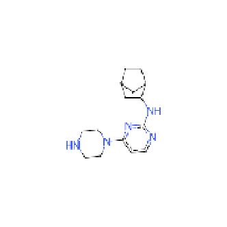 c1cc(N2CCNCC2)nc(NC2CC3CCC2C3)n1